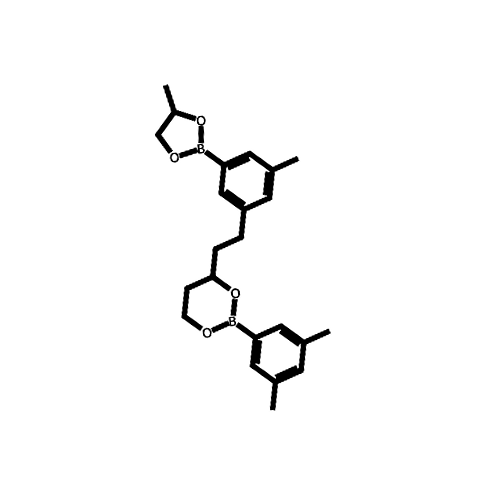 Cc1cc(CCC2CCOB(c3cc(C)cc(C)c3)O2)cc(B2OCC(C)O2)c1